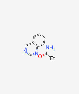 CCC(N)=O.c1ccc2ncncc2c1